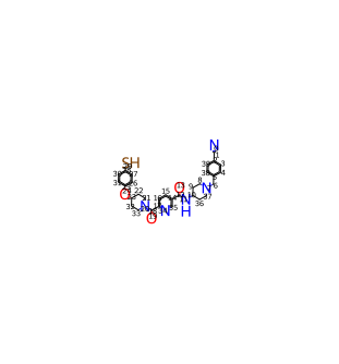 N#Cc1ccc(CN2CCC(NC(=O)c3ccc(C(=O)N4CCC(Oc5ccc(S)cc5)CC4)nc3)CC2)cc1